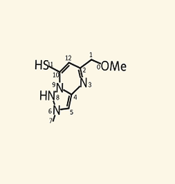 COCC1=NC2=CN(C)NN2C(S)=C1